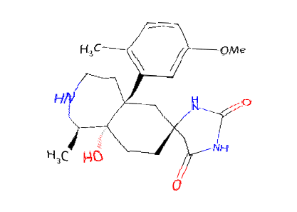 COc1ccc(C)c([C@]23CCN[C@H](C)[C@]2(O)CC[C@@]2(C3)NC(=O)NC2=O)c1